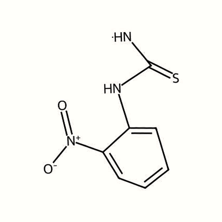 [NH]C(=S)Nc1ccccc1[N+](=O)[O-]